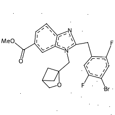 COC(=O)c1ccc2nc(Cc3cc(F)c(Br)cc3F)n(CC34CC(CO3)C4)c2c1